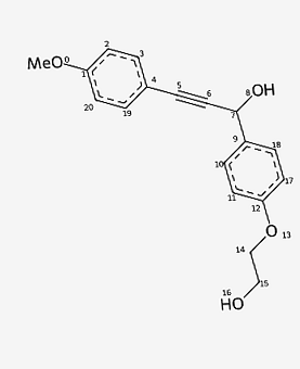 COc1ccc(C#CC(O)c2ccc(OCCO)cc2)cc1